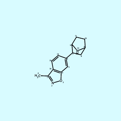 Cc1noc2cc(C3CC4CCC3N4)ccc12